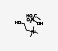 CC(=O)O.C[N+](C)(C)CCO.O=[N+]([O-])O